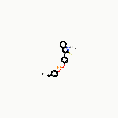 C=Cc1ccc(OPOc2ccc(-c3cc4c(n(C)c3=S)=CCCC=4)cc2)cc1